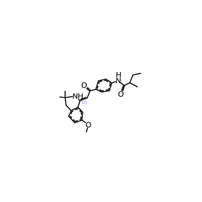 CCC(C)C(=O)Nc1ccc(C(=O)/C=C2\NC(C)(C)Cc3ccc(OC)cc32)cc1